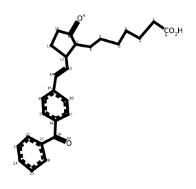 O=C(O)CCCCCCC1C(=O)CCC1C=Cc1ccc(C(=O)c2ccccc2)cc1